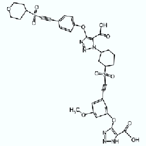 COc1cc(C#CS(=O)(=O)C2CCCC(n3nnc(Oc4ccc(C#CS(=O)(=O)C5CCOCC5)cc4)c3C(=O)O)C2)cc(Oc2nn[nH]c2C(=O)O)c1